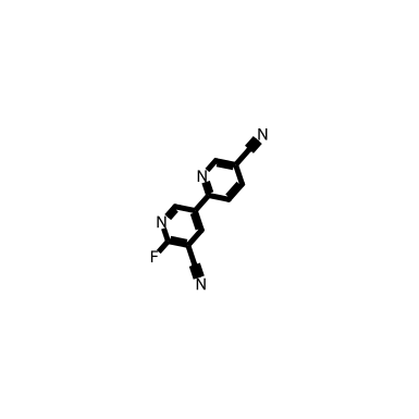 N#Cc1ccc(-c2cnc(F)c(C#N)c2)nc1